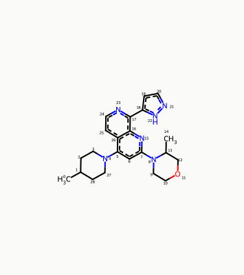 CC1CCN(c2cc(N3CCOCC3C)nc3c(-c4ccn[nH]4)nccc23)CC1